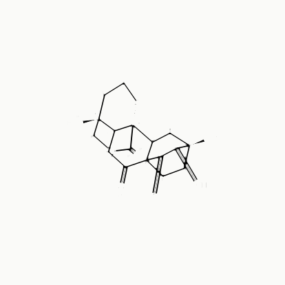 C=C1C(=O)C23CC[C@H]1CC2[C@@]12CCC[C@@](C)(COC1=O)C2CC3=O